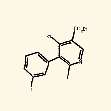 CCOC(=O)c1cnc(C)c(-c2cccc(I)c2)c1Cl